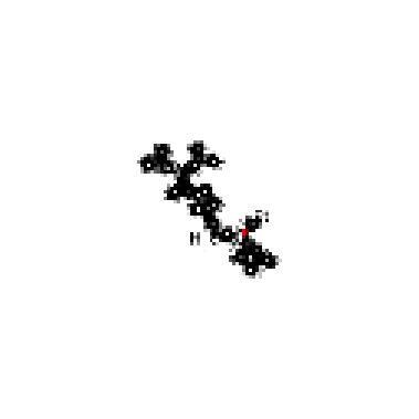 CCc1ccc(-c2nc(-c3ccc(C(C)c4ccc(-n5c6ccccc6c6c(-n7c8ccccc8c8cc9c(cc87)c7ccccc7n9-c7nc(-c8ccc9c(c8)c8ccccc8n9-c8ccccc8)nc(C8C=c9c(n(-c%10ccccc%10)c%10ccccc9%10)=CC8)n7)cccc65)cc4)cc3)nc(-n3c4ccccc4c4c3ccc3c5ccccc5n(-c5ccccc5)c34)n2)cc1